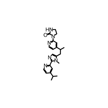 CC(C)c1ccnc(-c2ncc(CC(C)c3ccnc(N4CCNC4=O)c3)n2C)c1